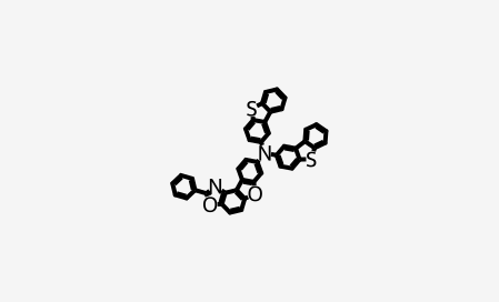 c1ccc(-c2nc3c(ccc4oc5cc(N(c6ccc7sc8ccccc8c7c6)c6ccc7sc8ccccc8c7c6)ccc5c43)o2)cc1